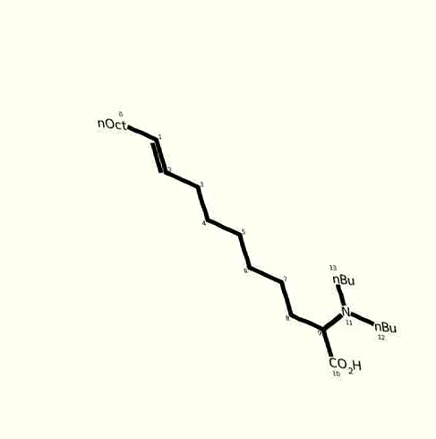 CCCCCCCCC=CCCCCCCC(C(=O)O)N(CCCC)CCCC